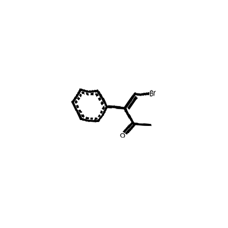 CC(=O)C(=CBr)c1ccccc1